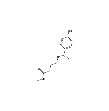 CNC(=O)OCCOC(=O)c1ccc(O)cc1